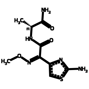 CON=C(C(=O)N[C@H](C)C(N)=O)c1csc(N)n1